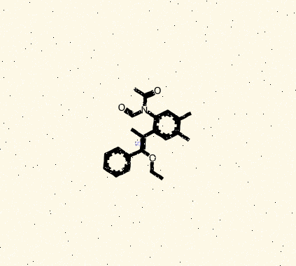 CCO/C(=C(/C)c1cc(C)c(C)cc1N(C=O)C(C)=O)c1ccccc1